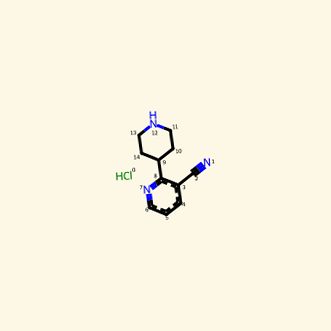 Cl.N#Cc1cccnc1C1CCNCC1